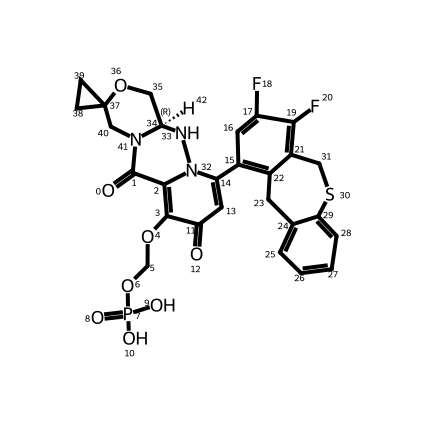 O=C1c2c(OCOP(=O)(O)O)c(=O)cc(-c3cc(F)c(F)c4c3Cc3ccccc3SC4)n2N[C@@H]2COC3(CC3)CN12